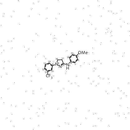 COc1ccc(NC2=NN(c3cccc(C(F)(F)F)c3)CC2)cc1